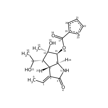 C/C=C1/C(=O)N[C@H]2[C@H]1[C@H](C(C)O)[C@@](C)(O)[C@H]2OC(=O)c1cccs1